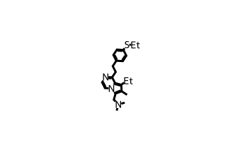 CCSc1ccc(CCc2nccn3c(CN(C)C)c(C)c(CC)c23)cc1